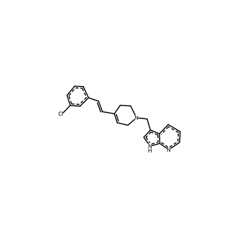 Clc1cccc(/C=C/C2=CCN(Cc3c[nH]c4ncccc34)CC2)c1